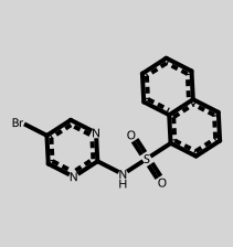 O=S(=O)(Nc1ncc(Br)cn1)c1cccc2ccccc12